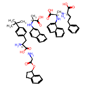 CC(C)(C)c1ccc(C[C@H](N)C(=O)O)cc1.C[C@H](Nc1ccc2ccccc2c1)C(=O)O.C[C@H](Nc1cccc2ccccc12)C(=O)O.NCC(=O)OC1CCc2ccccc21.N[C@@H](CCc1ccccc1)C(=O)O